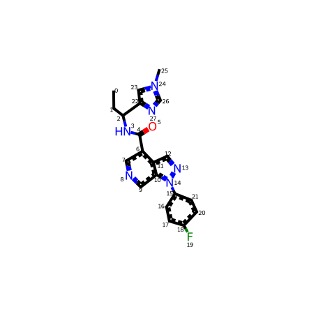 CCC(NC(=O)c1cncc2c1cnn2-c1ccc(F)cc1)c1cn(C)cn1